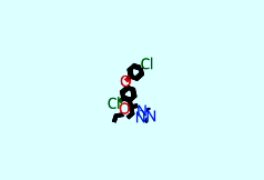 CCCOC(CC)(Cn1cncn1)c1ccc(Oc2ccc(Cl)cc2)cc1Cl